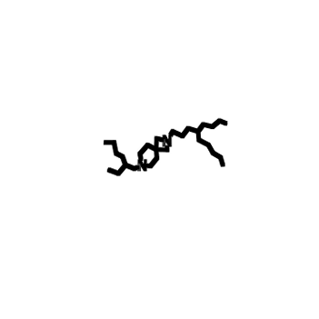 CCCCCC(CCCC)CCCN1CC2(CCN(CC(CC)CCCC)CC2)C1